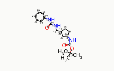 CC(C)(C)OC(=O)N[C@@H]1CC[C@H](CNC(=O)Nc2ccccc2)C1